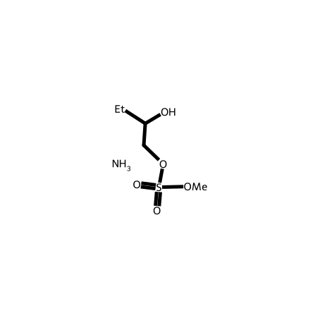 CCC(O)COS(=O)(=O)OC.N